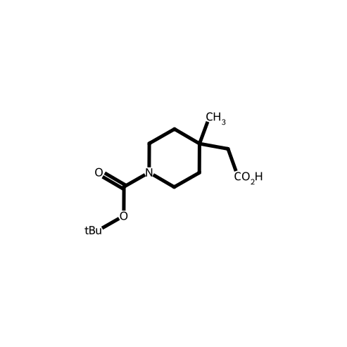 CC1(CC(=O)O)CCN(C(=O)OC(C)(C)C)CC1